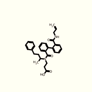 C=CCNC(=O)c1ccccc1-c1ccccc1C(=O)N(CCC(=O)O)C(C)CCc1ccccc1